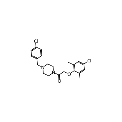 Cc1cc(Cl)cc(C)c1OCC(=O)N1CCN(Cc2ccc(Cl)cc2)CC1